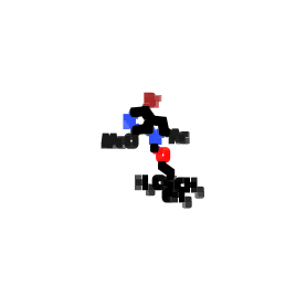 COc1ncc(Br)c2cc(C(C)=O)n(COCC[Si](C)(C)C)c12